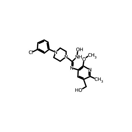 COc1nc(C)c(CO)cc1N=C(NO)N1CCN(c2cccc(Cl)c2)CC1